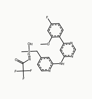 COc1cc(F)ccc1-c1cc(Nc2cc(C[SH](C)(O)=NC(=O)C(F)(F)F)ccn2)ncn1